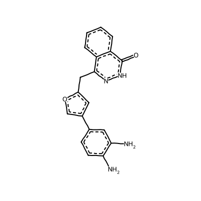 Nc1ccc(-c2coc(Cc3n[nH]c(=O)c4ccccc34)c2)cc1N